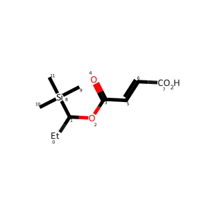 CCC(OC(=O)C=CC(=O)O)[Si](C)(C)C